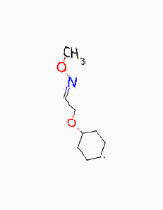 CO/N=C/COC1CC[CH]CC1